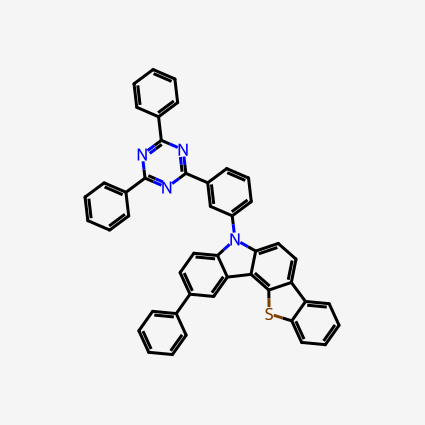 c1ccc(-c2ccc3c(c2)c2c4sc5ccccc5c4ccc2n3-c2cccc(-c3nc(-c4ccccc4)nc(-c4ccccc4)n3)c2)cc1